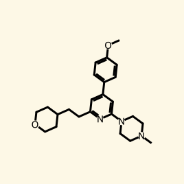 COc1ccc(-c2cc(CCC3CCOCC3)nc(N3CCN(C)CC3)c2)cc1